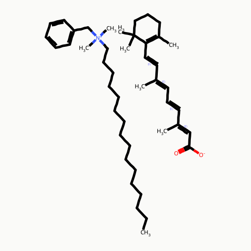 CC1=C(/C=C/C(C)=C/C=C/C(C)=C/C(=O)[O-])C(C)(C)CCC1.CCCCCCCCCCCCCCCC[N+](C)(C)Cc1ccccc1